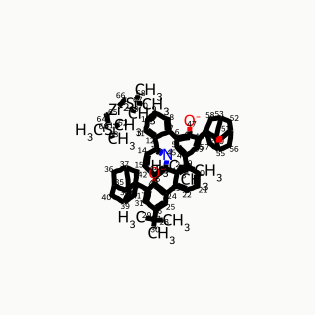 CC(C)(C)c1cc(-c2ccccc2-c2cccc(-c3ccccc3-c3cc(C(C)(C)C)cc(C45CC6CC(CC(C6)C4)C5)c3[O-])n2)c([O-])c(C23CC4CC(CC(C4)C2)C3)c1.C[Si](C)(C)[CH2][Zr+2][CH2][Si](C)(C)C